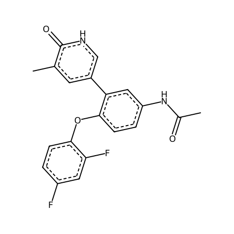 CC(=O)Nc1ccc(Oc2ccc(F)cc2F)c(-c2c[nH]c(=O)c(C)c2)c1